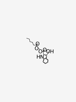 CCCCCC(=O)OCOC(=O)c1[nH]c2ccccc2c1CO